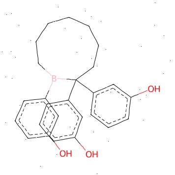 Oc1cccc(B2CCCCCCCC2(c2cccc(O)c2)c2cccc(O)c2)c1